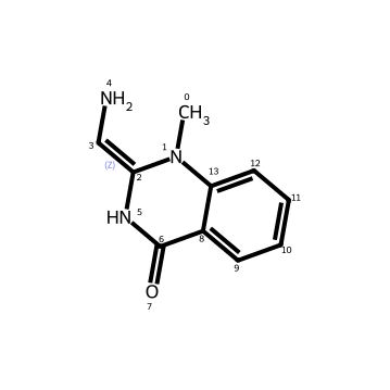 CN1/C(=C\N)NC(=O)c2ccccc21